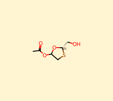 CC(=O)OC1CS[C@@H](CO)O1